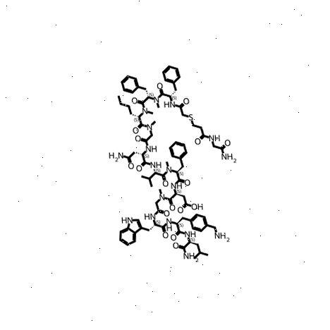 CCCC[C@@H](C(=O)N(C)CC(=O)N[C@@H](CC(N)=O)C(=O)N[C@H](C(=O)N(C)[C@@H](Cc1ccccc1)C(=O)N[C@@H](CC(=O)O)C(=O)N(C)CC(=O)N[C@@H](Cc1c[nH]c2ccccc12)C(=O)N[C@@H](Cc1ccc(CN)cc1)C(=O)N[C@@H](CC(C)C)C(N)=O)C(C)C)N(C)C(=O)[C@H](Cc1ccccc1)N(C)C(=O)[C@H](Cc1ccccc1)NC(=O)CSCCC(=O)NCC(N)=O